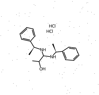 CC(O)C(N[C@@H](C)c1ccccc1)N[C@@H](C)c1ccccc1.Cl.Cl